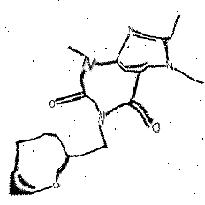 Cc1nc2c(c(=O)n(CC3CCC=CO3)c(=O)n2C)n1C